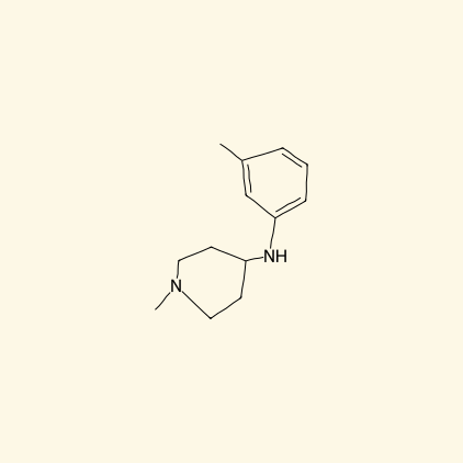 Cc1cccc(NC2CCN(C)CC2)c1